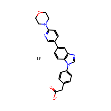 O=C([O-])Cc1ccc(-n2cnc3cc(-c4ccc(N5CCOCC5)nc4)ccc32)cc1.[Li+]